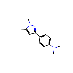 CN(C)c1ccc(-c2cc(C(=O)O)n(C)n2)cc1